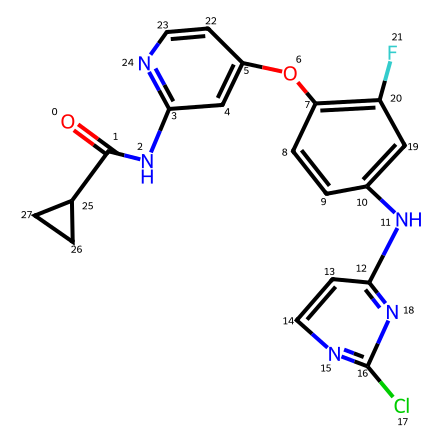 O=C(Nc1cc(Oc2ccc(Nc3ccnc(Cl)n3)cc2F)ccn1)C1CC1